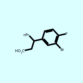 CCCC(CC(=O)O)c1ccc(F)c(Br)c1